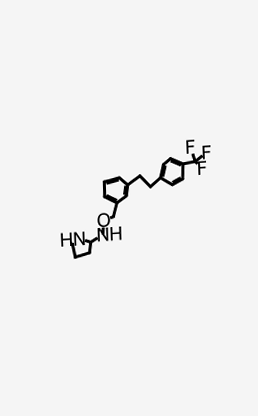 FC(F)(F)c1ccc(CCc2cccc(CONC3CCCN3)c2)cc1